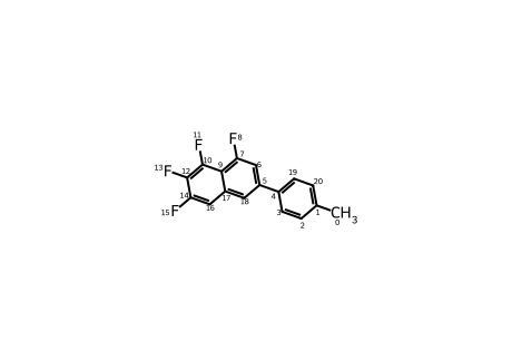 Cc1ccc(-c2cc(F)c3c(F)c(F)c(F)cc3c2)cc1